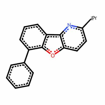 CC(C)c1ccc2oc3c(-c4ccccc4)cccc3c2n1